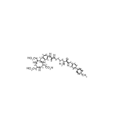 Cc1nnc(-c2ccc(CNC(=O)C(N)CCCCNC(=S)Nc3ccc(CC4NC(CC(=O)O)CNC(CC(=O)O)CNC4CC(=O)O)cc3)cc2)nn1